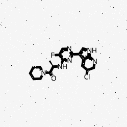 C[C@@H](Nc1nc(-c2c[nH]c3c2=CC(Cl)CN=3)ncc1F)C(=O)N1CCCCC1